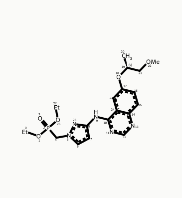 CCOP(=O)(Cn1ccc(Nc2ncnc3ccc(O[C@@H](C)COC)cc23)n1)OCC